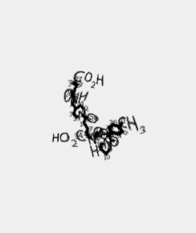 Cc1ccc(S(=O)(=O)N2CCC[C@@H]2C(=O)N[C@@H](CCC(=O)N2CCC(CNC(=O)CCC(=O)O)CC2)C(=O)O)cc1